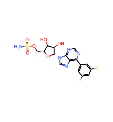 NS(=O)(=O)OC[C@H]1O[C@@H](n2cnc3c(-c4cc(F)cc(F)c4)ncnc32)[C@H](O)[C@@H]1O